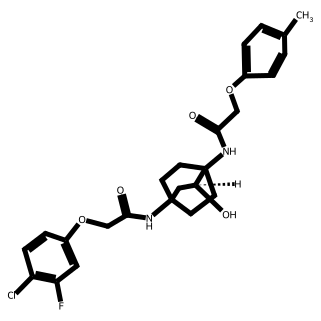 Cc1ccc(OCC(=O)NC23CCC(NC(=O)COc4ccc(Cl)c(F)c4)(CC2)C[C@@H]3O)cc1